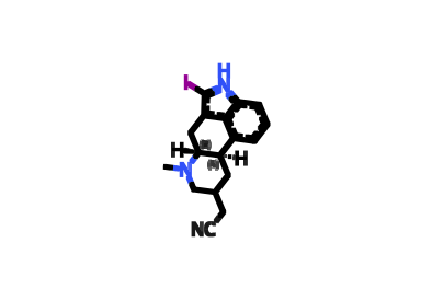 CN1CC(CC#N)C[C@@H]2c3cccc4[nH]c(I)c(c34)C[C@H]21